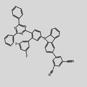 N#Cc1cc(C#N)cc(-c2ccc3c(c2)c2ccccc2n3-c2ccc(-c3nc(-c4ccccc4)nc(-c4ccccc4)n3)c(-c3cc(F)cc(F)c3)c2)c1